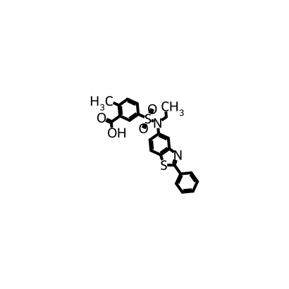 CCN(c1ccc2sc(-c3ccccc3)nc2c1)S(=O)(=O)c1ccc(C)c(C(=O)O)c1